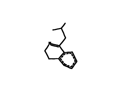 CC(C)CC1=NCCc2ccccc21